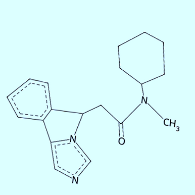 CN(C(=O)CC1c2ccccc2-c2cncn21)C1CCCCC1